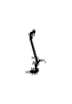 CCc1c2c(nc3ccc(O)cc13)-c1cc3c(c(=O)n1C2)COC(=O)[C@@]3(CC)OC(O)OCc1ccc(NC(=O)C(CCCCN)NC(=O)COCC(=O)NCCOCCOCCOCCOCCOCCOCCOCCOCCn2cc(CNC(=O)[C@H]3CC[C@H](CN4C(=O)C=CC4=O)CC3)nn2)cc1